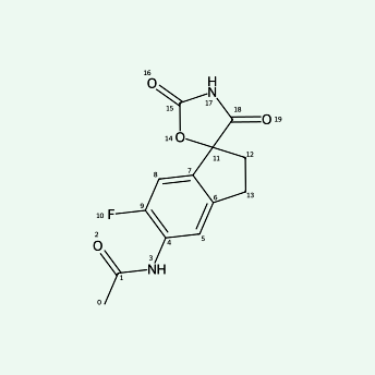 CC(=O)Nc1cc2c(cc1F)C1(CC2)OC(=O)NC1=O